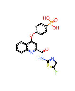 O=C(Nc1ncc(F)s1)c1cc(Oc2ccc(P(=O)(O)O)cc2)c2ccccc2n1